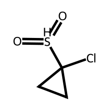 O=[SH](=O)C1(Cl)CC1